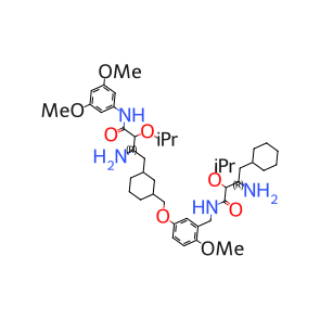 COc1cc(NC(=O)C(OC(C)C)[C@H](N)CC2CCCC(COc3ccc(OC)c(CNC(=O)C(OC(C)C)[C@H](N)CC4CCCCC4)c3)C2)cc(OC)c1